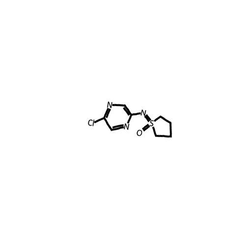 O=S1(=Nc2cnc(Cl)cn2)CCCC1